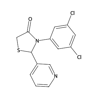 O=C1CSC(c2cccnc2)N1c1cc(Cl)cc(Cl)c1